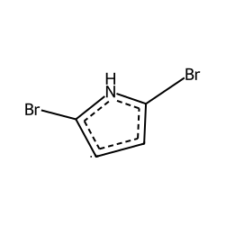 Brc1[c]cc(Br)[nH]1